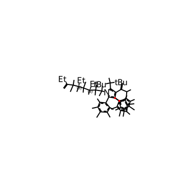 C=C(c1c(-c2c(C)c(C)c(C)c(C)c2C)c(-c2c(C)c(C)c(C)c(C)c2C)n(C(C)(C)C(C)(C)[C@@](C)(CC)C(C)(C)[C@@](C)(CC)C(C)(C)C(=C)CC)c1C(C)(C(C)(C)C)C(C)(C)C)C(C)c1c(C)c(C)c(C)c(C)c1C